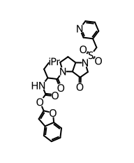 CC(C)CC(NC(=O)Oc1cc2ccccc2o1)C(=O)N1CCC2C1C(=O)CN2S(=O)(=O)Cc1cccnc1